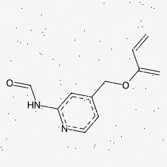 C=CC(=C)OCc1ccnc(NC=O)c1